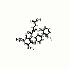 Cc1cn(C)c(=O)c(N(C(=O)NCCC(=O)O)c2cccc(-c3c(C)cccc3C)c2)c1O